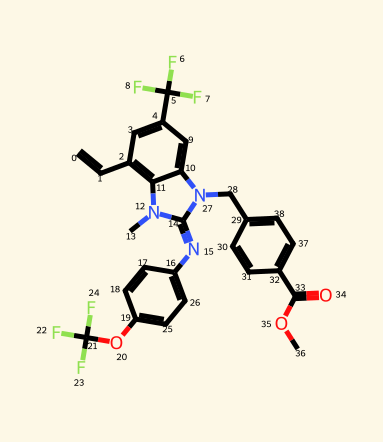 C=Cc1cc(C(F)(F)F)cc2c1n(C)c(=Nc1ccc(OC(F)(F)F)cc1)n2Cc1ccc(C(=O)OC)cc1